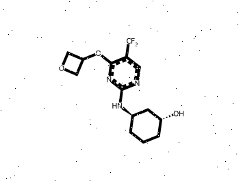 O[C@@H]1CCC[C@@H](Nc2ncc(C(F)(F)F)c(OC3COC3)n2)C1